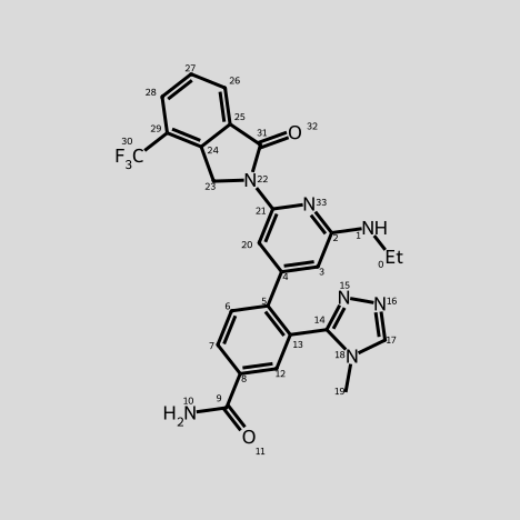 CCNc1cc(-c2ccc(C(N)=O)cc2-c2nncn2C)cc(N2Cc3c(cccc3C(F)(F)F)C2=O)n1